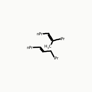 CCCC=C(C)C(C)C.CCCC=CCC(C)C